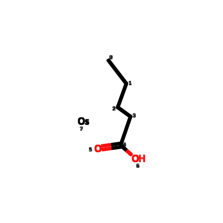 CCCCC(=O)O.[Os]